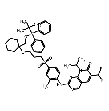 Cc1cc(S(=O)(=O)CCCOC2(CO[Si](c3ccccc3)(c3ccccc3)C(C)(C)C)CCCCC2)ccc1Nc1ncc2cc(C(F)F)c(=O)n(C(C)C)c2n1